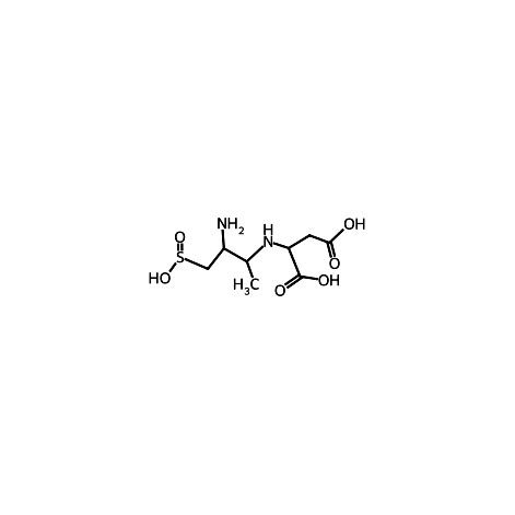 CC(NC(CC(=O)O)C(=O)O)C(N)CS(=O)O